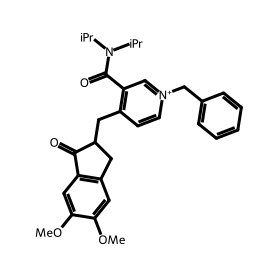 COc1cc2c(cc1OC)C(=O)C(Cc1cc[n+](Cc3ccccc3)cc1C(=O)N(C(C)C)C(C)C)C2